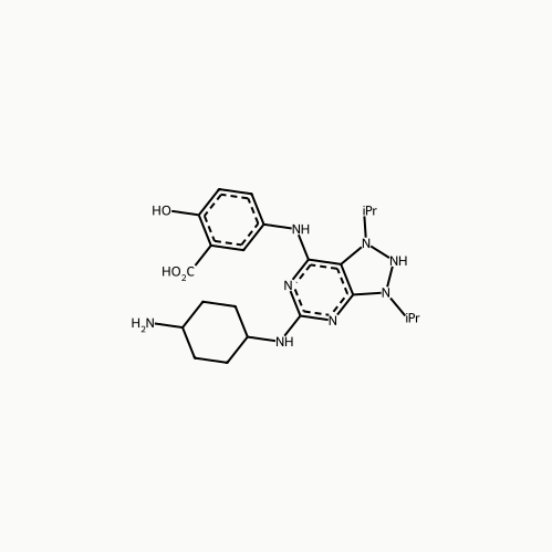 CC(C)N1NN(C(C)C)c2c(Nc3ccc(O)c(C(=O)O)c3)nc(NC3CCC(N)CC3)nc21